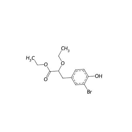 CCOC(=O)C(Cc1ccc(O)c(Br)c1)OCC